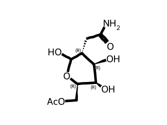 CC(=O)OC[C@H]1OC(O)[C@H](CC(N)=O)[C@@H](O)[C@H]1O